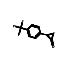 O=C1C[C@@H]1c1ccc(C(F)(F)F)cc1